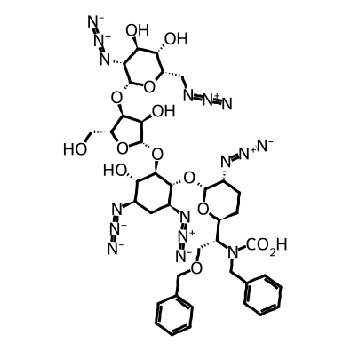 [N-]=[N+]=NC[C@@H]1O[C@H](O[C@H]2[C@@H](O)[C@H](O[C@@H]3[C@@H](O)[C@H](N=[N+]=[N-])C[C@H](N=[N+]=[N-])[C@H]3O[C@H]3O[C@H]([C@@H](COCc4ccccc4)N(Cc4ccccc4)C(=O)O)CC[C@H]3N=[N+]=[N-])O[C@@H]2CO)[C@H](N=[N+]=[N-])[C@@H](O)[C@@H]1O